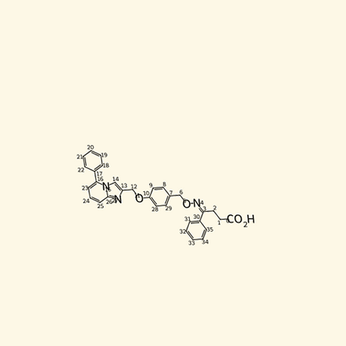 O=C(O)CCC(=NOCc1ccc(OCc2cn3c(-c4ccccc4)cccc3n2)cc1)c1ccccc1